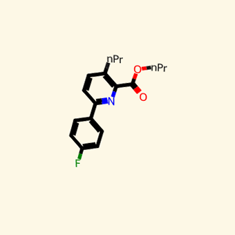 CCCOC(=O)c1nc(-c2ccc(F)cc2)ccc1CCC